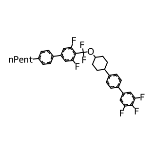 CCCCCc1ccc(-c2cc(F)c(C(F)(F)OC3CCC(c4ccc(-c5cc(F)c(F)c(F)c5)cc4)CC3)c(F)c2)cc1